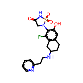 O=C1CN(c2c(O)cc3c(c2F)CC(NCCc2ccccn2)CC3)S(=O)(=O)N1